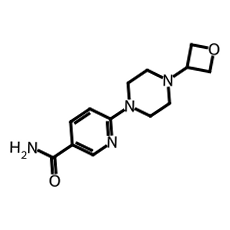 NC(=O)c1ccc(N2CCN(C3COC3)CC2)nc1